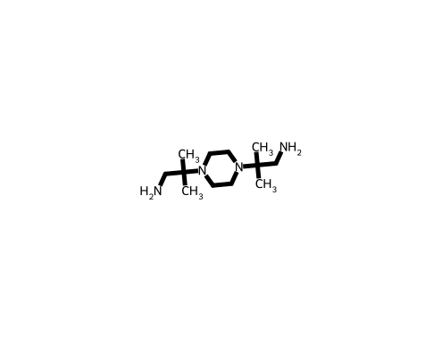 CC(C)(CN)N1CCN(C(C)(C)CN)CC1